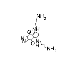 NCCCCNc1ccc(NCCCCN)c2c1C(=O)c1cnncc1C2=O